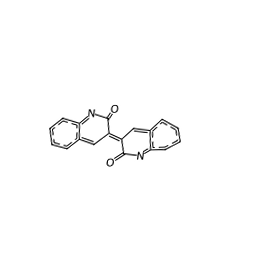 O=C1N=c2ccccc2=CC1=C1C=c2ccccc2=NC1=O